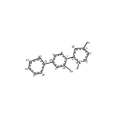 Cc1cc[n+](C)c(-c2ccc(-c3ccccc3)cc2C)c1